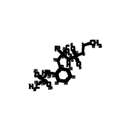 CCCS(=O)(=O)NC(C)(F)Cc1ccccc1NS(C)(=O)=O